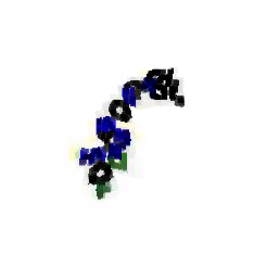 CN(C)[C@H]1CCN(c2ccc(-n3ncc4c(Nc5ccc(F)cc5Cl)ncnc43)cc2)C1